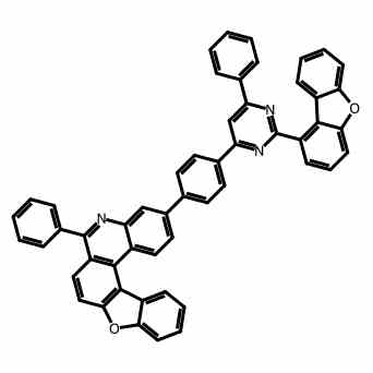 c1ccc(-c2cc(-c3ccc(-c4ccc5c(c4)nc(-c4ccccc4)c4ccc6oc7ccccc7c6c45)cc3)nc(-c3cccc4oc5ccccc5c34)n2)cc1